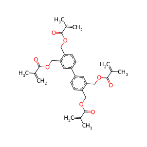 C=C(C)C(=O)OCc1ccc(-c2ccc(COC(=O)C(=C)C)c(COC(=O)C(=C)C)c2)cc1COC(=O)C(=C)C